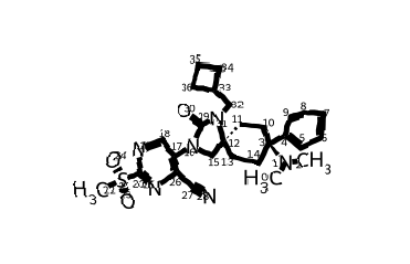 CN(C)[C@]1(c2ccccc2)CC[C@]2(CC1)CN(c1cnc(S(C)(=O)=O)nc1C#N)C(=O)N2CC1CCC1